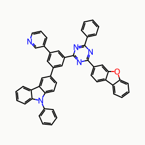 c1ccc(-c2nc(-c3cc(-c4cccnc4)cc(-c4ccc5c(c4)c4ccccc4n5-c4ccccc4)c3)nc(-c3ccc4c(c3)oc3ccccc34)n2)cc1